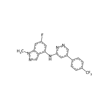 Cn1ncc2c(Nc3cc(-c4ccc(C(F)(F)F)cc4)cnn3)cc(F)cc21